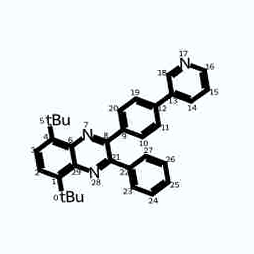 CC(C)(C)c1ccc(C(C)(C)C)c2nc(-c3ccc(-c4cccnc4)cc3)c(-c3ccccc3)nc12